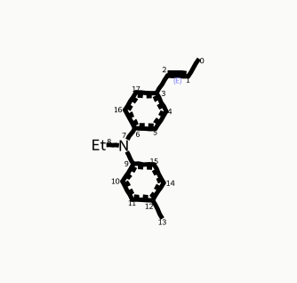 C/C=C/c1ccc(N(CC)c2ccc(C)cc2)cc1